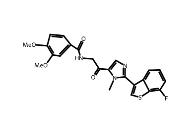 COc1ccc(C(=O)NCC(=O)c2cnc(-c3csc4c(F)cccc34)n2C)cc1OC